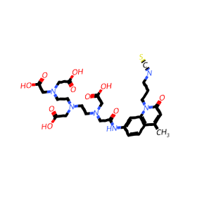 Cc1cc(=O)n(CCCN=C=S)c2cc(NC(=O)CN(CCN(CCN(CC(=O)O)CC(=O)O)CC(=O)O)CC(=O)O)ccc12